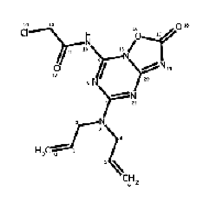 C=CCN(CC=C)c1nc(NC(=O)CCl)n2oc(=O)nc2n1